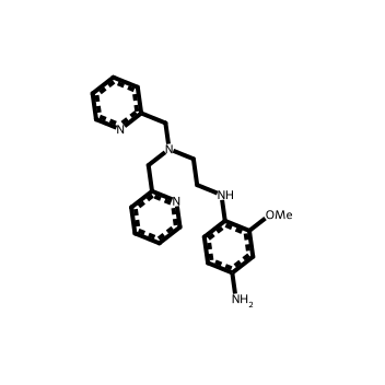 COc1cc(N)ccc1NCCN(Cc1ccccn1)Cc1ccccn1